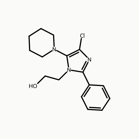 OCCn1c(-c2ccccc2)nc(Cl)c1N1CCCCC1